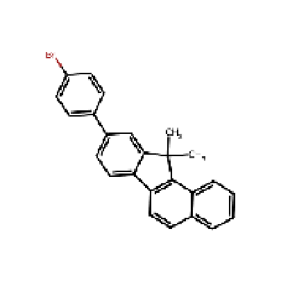 CC1(C)c2cc(-c3ccc(Br)cc3)ccc2-c2ccc3ccccc3c21